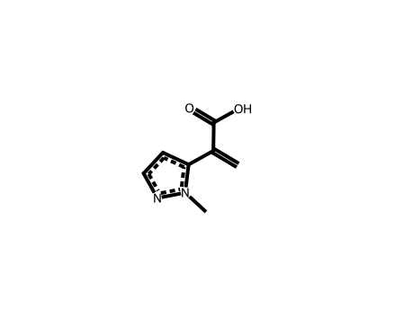 C=C(C(=O)O)c1ccnn1C